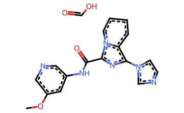 COc1cncc(NC(=O)c2nc(-n3ccnc3)c3ccccn23)c1.O=CO